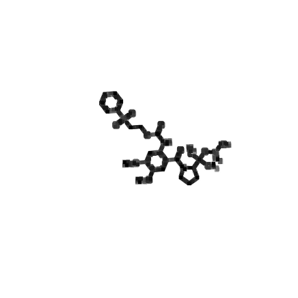 COc1cc(NC(=O)OCCS(=O)(=O)c2ccccc2)c(C(=O)N2CCCC2C(C)(C)O[SiH2]C(C)(C)C)cc1OC